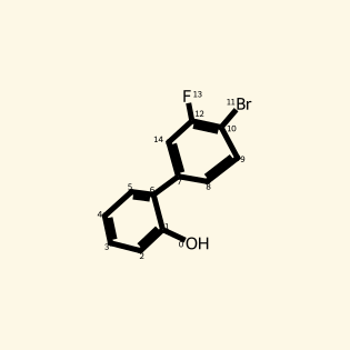 Oc1ccccc1-c1ccc(Br)c(F)c1